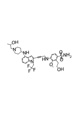 COc1c(NCC#Cc2cc3c(NC4CCN(CC(C)O)CC4)cccc3n2CC(F)(F)F)ccc(S(N)(=O)=O)c1CCO